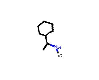 CCNC(C)C1CCCCC1